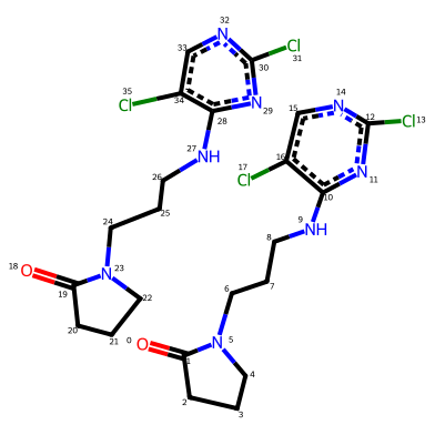 O=C1CCCN1CCCNc1nc(Cl)ncc1Cl.O=C1CCCN1CCCNc1nc(Cl)ncc1Cl